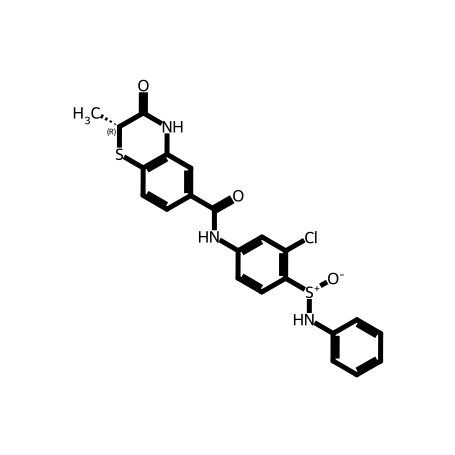 C[C@H]1Sc2ccc(C(=O)Nc3ccc([S+]([O-])Nc4ccccc4)c(Cl)c3)cc2NC1=O